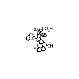 CN1CCC[C@H]1COc1nc2c(F)c(-c3cccc4ccc(F)cc34)c(CCC#N)cc2c2c1cc(CCC(=O)O)n2C1C2CC1N(C(=O)OC(C)(C)C)C2